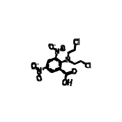 O=C(O)c1cc([N+](=O)[O-])cc([N+](=O)[O-])c1N(CCCl)CCCl